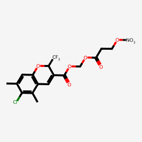 Cc1cc2c(c(C)c1Cl)C=C(C(=O)OCOC(=O)CCO[N+](=O)[O-])C(C(F)(F)F)O2